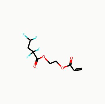 C=CC(=O)OCCOC(=O)C(F)(F)CC(F)F